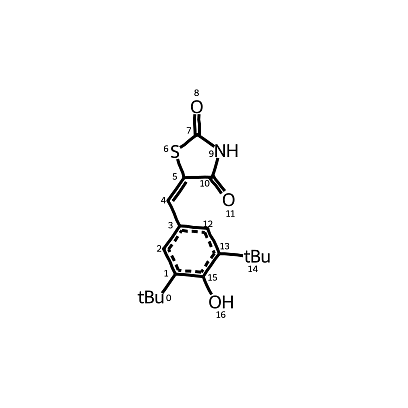 CC(C)(C)c1cc(C=C2SC(=O)NC2=O)cc(C(C)(C)C)c1O